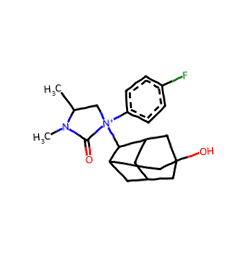 CC1C[N+](c2ccc(F)cc2)(C2C3CC4CC2CC(O)(C4)C3)C(=O)N1C